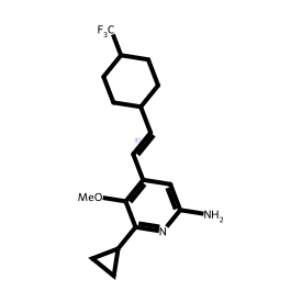 COc1c(/C=C/C2CCC(C(F)(F)F)CC2)cc(N)nc1C1CC1